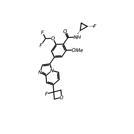 COc1cc(-c2cnc3cc(C4(F)COC4)ccn23)cc(OC(F)F)c1C(=O)N[C@@H]1C[C@@H]1F